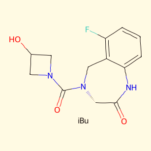 CC[C@H](C)[C@H]1C(=O)Nc2cccc(F)c2CN1C(=O)N1CC(O)C1